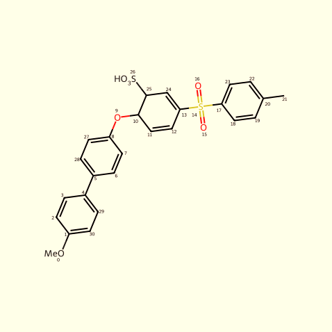 COc1ccc(-c2ccc(OC3C=CC(S(=O)(=O)c4ccc(C)cc4)=CC3S(=O)(=O)O)cc2)cc1